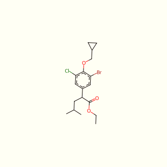 CCOC(=O)C(CC(C)C)c1cc(Cl)c(OCC2CC2)c(Br)c1